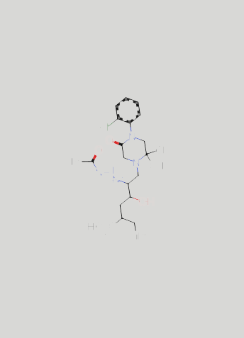 CC(C)C(N)=O.CC(C)CC(CC(O)C(N)CN1CC(=O)N(c2ccccc2Cl)CC1(C)C)C(=O)O